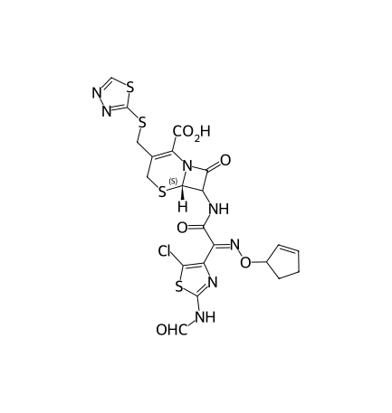 O=CNc1nc(C(=NOC2C=CCC2)C(=O)NC2C(=O)N3C(C(=O)O)=C(CSc4nncs4)CS[C@@H]23)c(Cl)s1